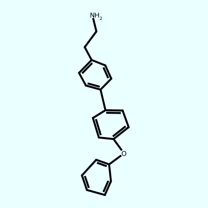 NCCc1ccc(-c2ccc(Oc3ccccc3)cc2)cc1